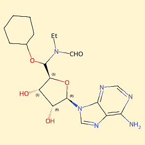 CCN(C=O)C(OC1CCCCC1)[C@H]1O[C@@H](n2cnc3c(N)ncnc32)[C@H](O)[C@@H]1O